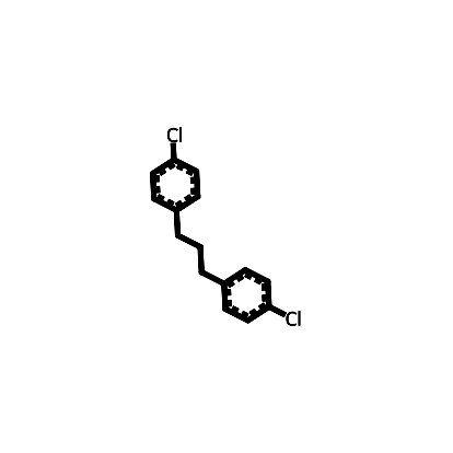 Clc1ccc(CCCc2ccc(Cl)cc2)cc1